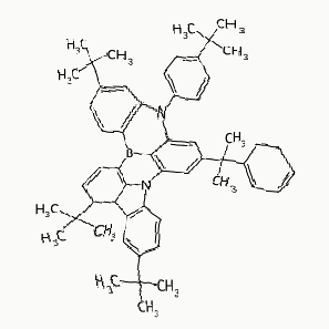 CC(C)(C)c1ccc(N2c3cc(C(C)(C)C)ccc3B3C4=C5C(c6cc(C(C)(C)C)ccc6N5c5cc(C(C)(C)C6=CC=CCC6)cc2c53)C(C(C)(C)C)C=C4)cc1